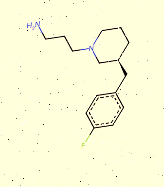 NCCCN1CCC[C@@H](Cc2ccc(F)cc2)C1